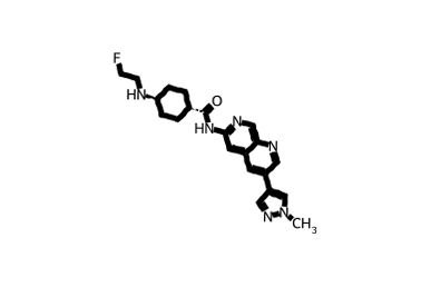 Cn1cc(-c2cnc3cnc(NC(=O)[C@H]4CC[C@H](NCCF)CC4)cc3c2)cn1